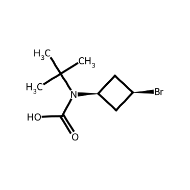 CC(C)(C)N(C(=O)O)[C@H]1C[C@@H](Br)C1